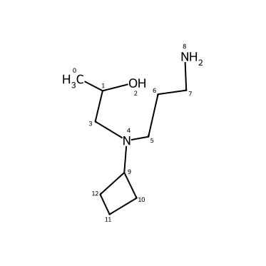 CC(O)CN(CCCN)C1CCC1